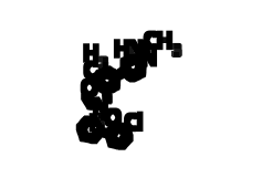 Cc1nc2ccc(-c3cc(C)c4c(c3)CN(C(=O)N3CCCCC3c3cccc(Cl)c3)CCO4)cc2[nH]1